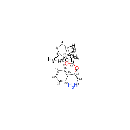 CC1(C)[C@@H]2CC[C@@]1(C)[C@H]1O[C@H](O[C@@H](CN)c3ccccc3)C[C@@H]21